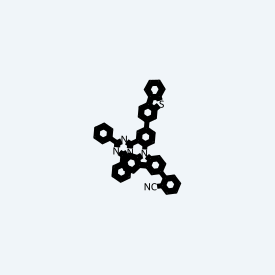 N#Cc1ccccc1-c1ccc2c(c1)c1ccccc1n2-c1ccc(-c2ccc3c(c2)sc2ccccc23)cc1-c1nc(-c2ccccc2)nc(-c2ccccc2)n1